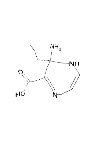 CCC1(N)NC=CN=C1C(=O)O